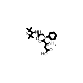 CC1(C)SC(C)(C)C1NC(=O)CN(C(=O)[C@@H](N)CC(=O)O)c1ccccc1